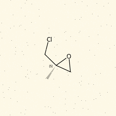 C[C@@]1(CCl)CO1